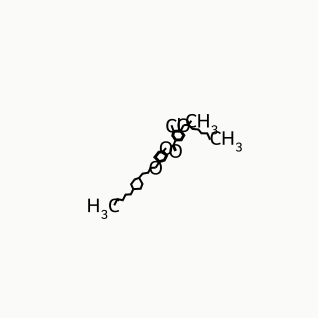 CCCCCCC(C)Oc1ccc(C(=O)Oc2ccc(OCCCC3CCC(CCCCC)CC3)cc2)cc1Cl